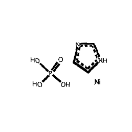 O=P(O)(O)O.[Ni].c1c[nH]cn1